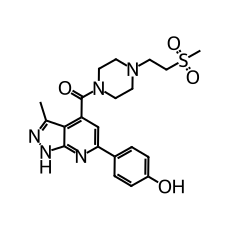 Cc1n[nH]c2nc(-c3ccc(O)cc3)cc(C(=O)N3CCN(CCS(C)(=O)=O)CC3)c12